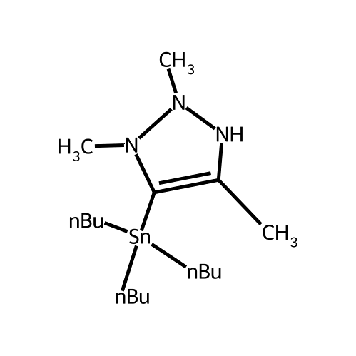 CCC[CH2][Sn]([CH2]CCC)([CH2]CCC)[C]1=C(C)NN(C)N1C